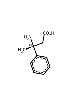 C[C@@](N)(CC(=O)O)c1ccccc1